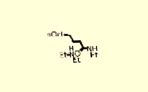 CCCCCCCCCCCC(=O)NCC.CCNCC